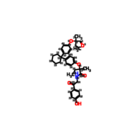 CCC(C)(C=O)Oc1ccc(C2(c3ccc(OC(C)(CC)C(=O)NCC(=O)c4ccc(O)cc4)cc3)CCCCC2)cc1